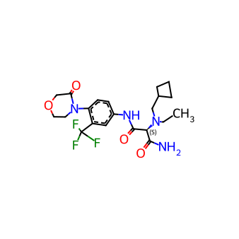 CCN(CC1CCC1)[C@@H](C(N)=O)C(=O)Nc1ccc(N2CCOCC2=O)c(C(F)(F)F)c1